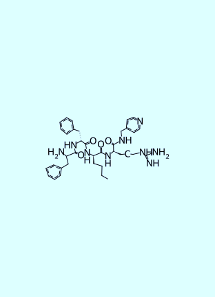 CCCC[C@@H](NC(=O)[C@@H](Cc1ccccc1)NC(=O)C(N)Cc1ccccc1)C(=O)N[C@H](CCCNC(=N)N)C(=O)NCc1ccncc1